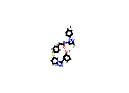 Cc1ccc(-n2nc(C(C)(C)C)cc2NC(=O)Cc2ccc(Sc3ccc4nnc(-c5cccc(O)c5)n4c3)cc2)cc1